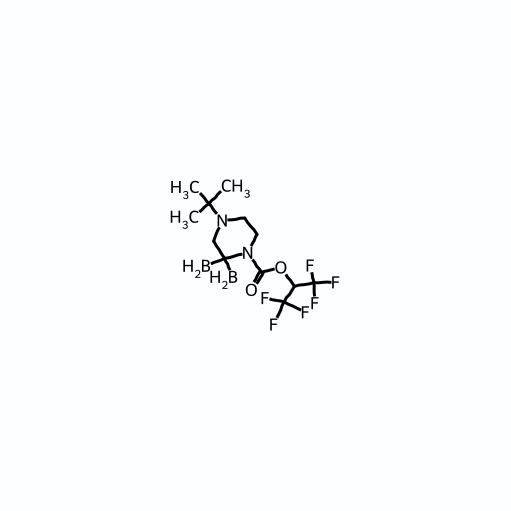 BC1(B)CN(C(C)(C)C)CCN1C(=O)OC(C(F)(F)F)C(F)(F)F